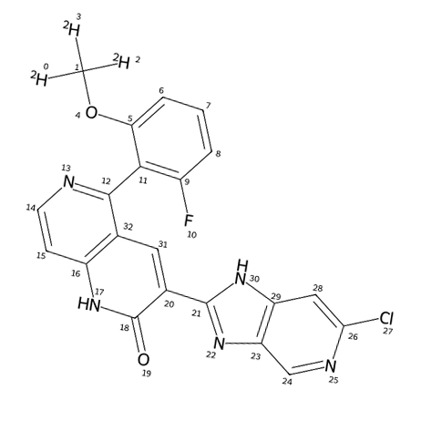 [2H]C([2H])([2H])Oc1cccc(F)c1-c1nccc2[nH]c(=O)c(-c3nc4cnc(Cl)cc4[nH]3)cc12